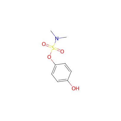 CN(C)S(=O)(=O)Oc1ccc(O)cc1